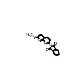 CSc1ccc2ccc(N3C(=O)c4ccccc4C3=O)nc2n1